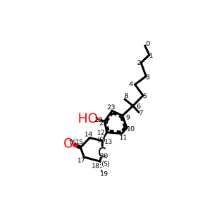 CCCCCCC(C)(C)c1ccc([C@@H]2CC(=O)C[C@@H](C)C2)c(O)c1